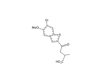 CCc1cc2sc(C(=O)CC(C)C(=O)O)cc2cc1OC